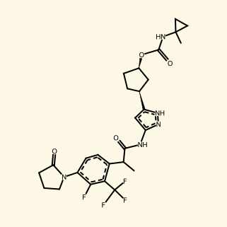 CC(C(=O)Nc1cc([C@H]2CC[C@@H](OC(=O)NC3(C)CC3)C2)[nH]n1)c1ccc(N2CCCC2=O)c(F)c1C(F)(F)F